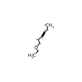 CCC#CCCOCC